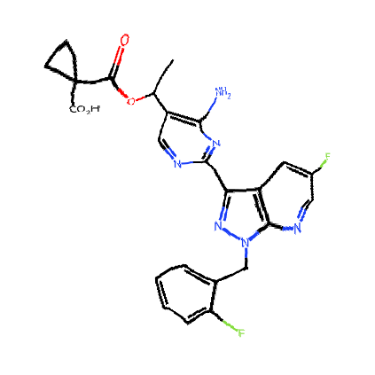 CC(OC(=O)C1(C(=O)O)CC1)c1cnc(-c2nn(Cc3ccccc3F)c3ncc(F)cc23)nc1N